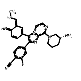 CN/C=C1/C=C(c2c(-c3ccc(C#N)c(F)c3)nc3c(N4CCC[C@@H](N)C4)nccn23)C=CC1=N